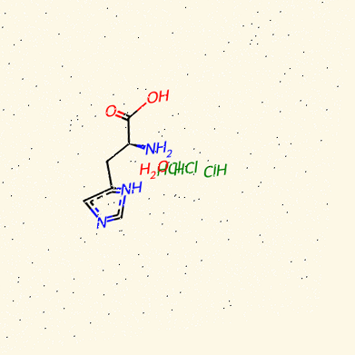 Cl.Cl.Cl.N[C@@H](Cc1cnc[nH]1)C(=O)O.O